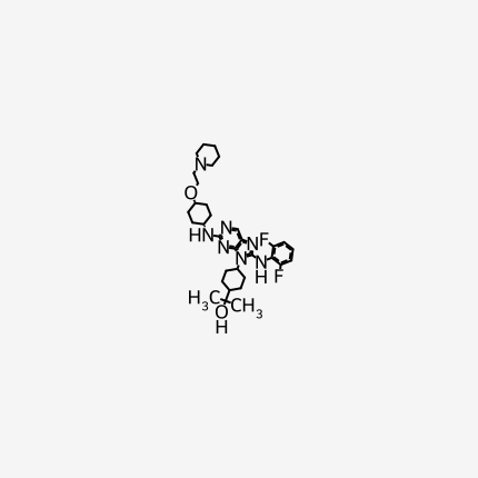 CC(C)(O)C1CCC(n2c(Nc3c(F)cccc3F)nc3cnc(N[C@H]4CC[C@H](OCCN5CCCCC5)CC4)nc32)CC1